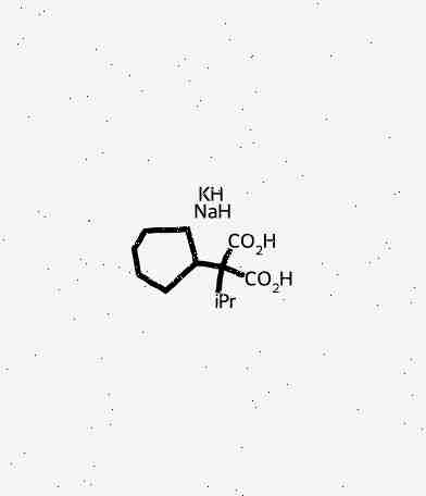 CC(C)C(C(=O)O)(C(=O)O)C1CCCCC1.[KH].[NaH]